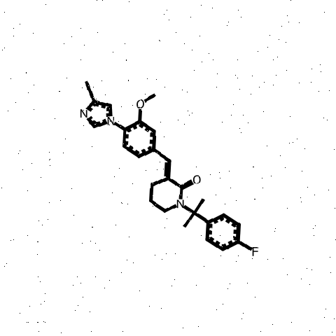 COc1cc(/C=C2\CCCN(C(C)(C)c3ccc(F)cc3)C2=O)ccc1-n1cnc(C)c1